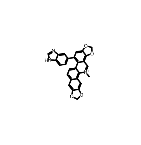 C[n+]1cc2c3c(cc(-c4ccc5[nH]cnc5c4)c2c2ccc4cc5c(cc4c21)OCO5)OCO3